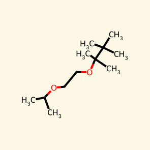 CC(C)OCCOC(C)(C)C(C)(C)C